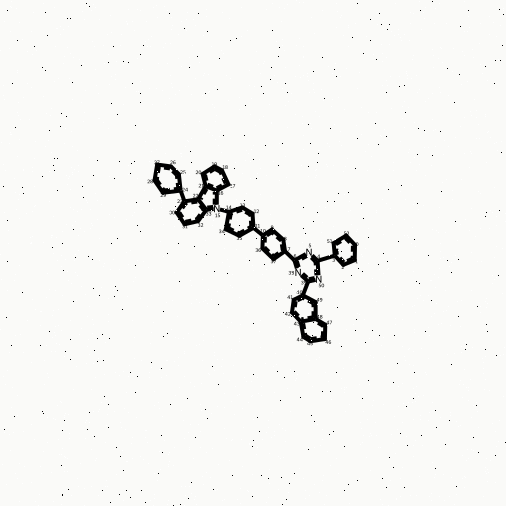 c1ccc(-c2nc(-c3ccc(-c4ccc(-n5c6ccccc6c6c(-c7ccccc7)cccc65)cc4)cc3)nc(-c3ccc4ccccc4c3)n2)cc1